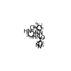 Cc1ccc2nc(NC(=O)c3ccnnc3)n(C3CCCCNC3)c2c1Cl